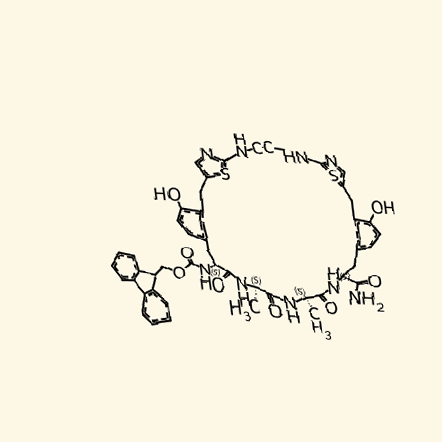 C[C@@H]1NC(=O)[C@H](C)NC(=O)[C@@H](NC(=O)OCC2c3ccccc3-c3ccccc32)Cc2ccc(O)c(c2)Cc2cnc(s2)NCCCNc2ncc(s2)Cc2cc(ccc2O)C[C@@H](C(N)=O)NC1=O